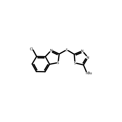 CCCCc1nnc(Sc2nc3c(Cl)cccc3s2)s1